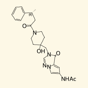 CC(=O)Nc1cc2c(=O)n(CC3(O)CCN(C(=O)C[C@@H](C)c4ccccc4)CC3)cnn2c1